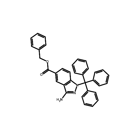 Nc1nn(C(c2ccccc2)(c2ccccc2)c2ccccc2)c2ccc(C(=O)OCc3ccccc3)cc12